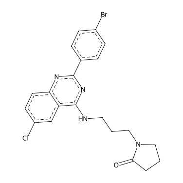 O=C1CCCN1CCCNc1nc(-c2ccc(Br)cc2)nc2ccc(Cl)cc12